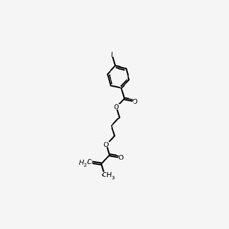 C=C(C)C(=O)OCCCOC(=O)c1ccc(I)cc1